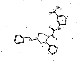 NC(=O)c1cncc(NC(=O)C(=O)N2CC[C@H](NCc3ccccc3)C[C@@H]2c2ccccc2)c1